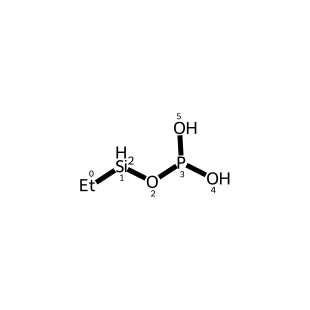 CC[SiH2]OP(O)O